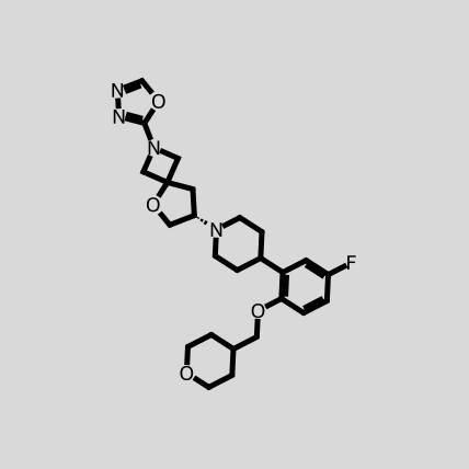 Fc1ccc(OCC2CCOCC2)c(C2CCN([C@@H]3COC4(C3)CN(c3nnco3)C4)CC2)c1